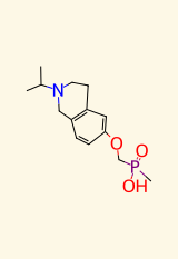 CC(C)N1CCc2cc(OCP(C)(=O)O)ccc2C1